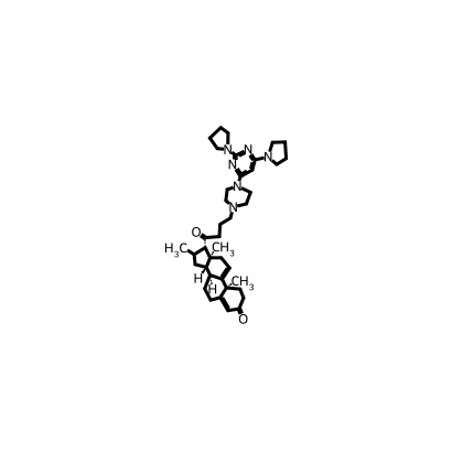 CC1C[C@H]2[C@@H]3CCC4=CC(=O)CC[C@]4(C)C3=CC[C@]2(C)[C@H]1C(=O)CCCN1CCN(c2cc(N3CCCC3)nc(N3CCCC3)n2)CC1